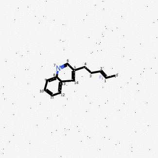 [CH2]/C=C/CCc1cnc2ccccc2c1